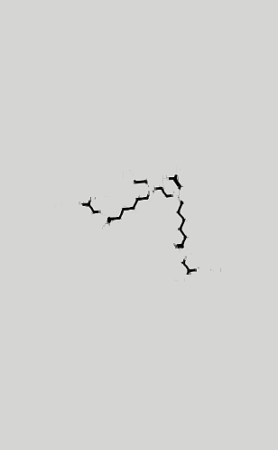 CCCCCCCCC(CCCCCCCC)COC(=O)CCCCCN(C=C(F)F)CCN(CCO)CCCCCC(=O)OCC(CCCCCCCC)CCCCCCCC